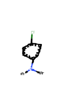 CC(C)N(c1ccc(Cl)cc1)C(C)C